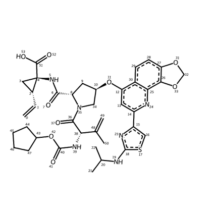 C=C[C@@H]1C[C@]1(NC(=O)[C@@H]1C[C@@H](Oc2cc(-c3csc(NC(C)C)n3)nc3c4c(ccc23)OCO4)CN1C(=O)[C@@H](NC(=O)OC1CCCC1)C(=C)C)C(=O)O